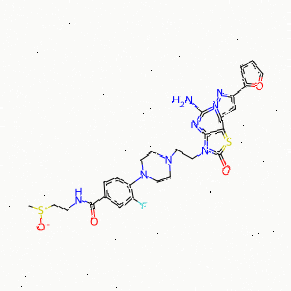 C[S+]([O-])CCNC(=O)c1ccc(N2CCN(CCn3c(=O)sc4c3nc(N)n3nc(-c5ccco5)cc43)CC2)c(F)c1